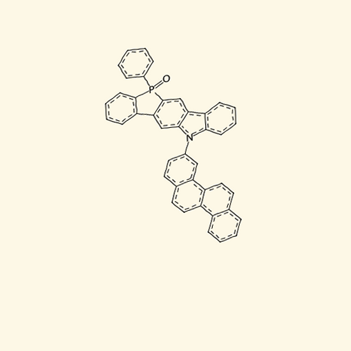 O=P1(c2ccccc2)c2ccccc2-c2cc3c(cc21)c1ccccc1n3-c1ccc2ccc3c4ccccc4ccc3c2c1